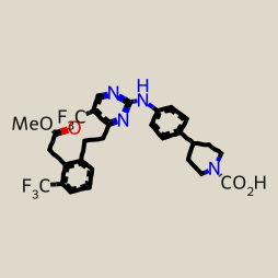 COC(=O)Cc1c(CCc2nc(Nc3ccc(C4CCN(C(=O)O)CC4)cc3)ncc2C(F)(F)F)cccc1C(F)(F)F